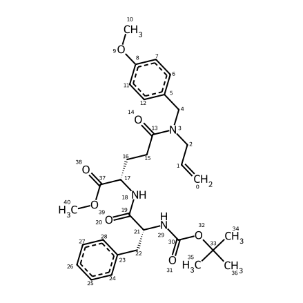 C=CCN(Cc1ccc(OC)cc1)C(=O)CC[C@H](NC(=O)[C@@H](Cc1ccccc1)NC(=O)OC(C)(C)C)C(=O)OC